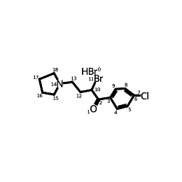 Br.O=C(c1ccc(Cl)cc1)C(Br)CCN1CCCC1